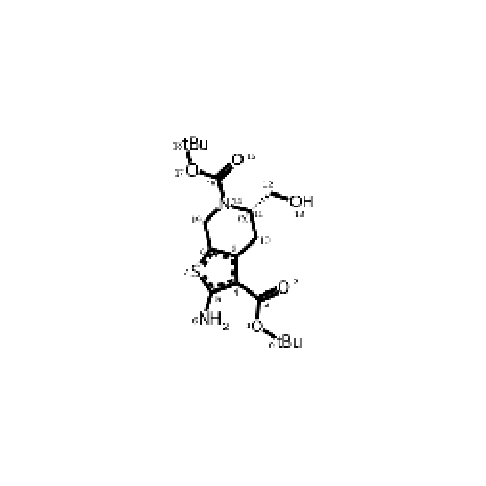 CC(C)(C)OC(=O)c1c(N)sc2c1C[C@@H](CO)N(C(=O)OC(C)(C)C)C2